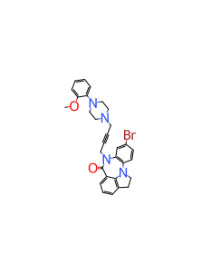 COc1ccccc1N1CCN(CC#CCN2C(=O)c3cccc4c3N(CC4)c3ccc(Br)cc32)CC1